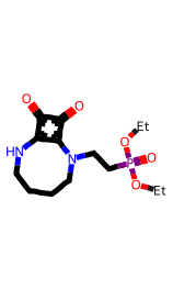 CCOP(=O)(CCN1CCCCNc2c1c(=O)c2=O)OCC